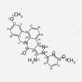 COc1ccc(Cn2c(=O)c3c(N)n(-c4cccc(OC)n4)nc3c3ccccc32)cc1